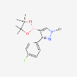 CCn1cc(B2OC(C)(C)C(C)(C)O2)c(-c2ccc(F)cc2)n1